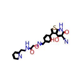 N#Cc1c(O)c2c(-c3ccc(C=NOCC(=O)NCCc4ccccn4)cc3)csc2[nH]c1=O